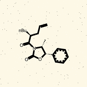 C=CC[C@H](CCCC)C(=O)N1C(=O)O[C@@H](c2ccccc2)[C@H]1C